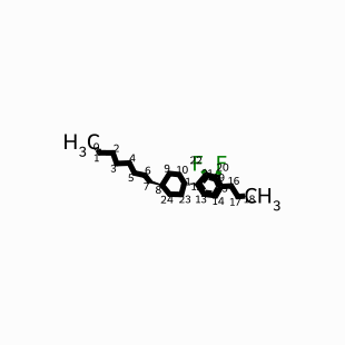 CCCCCCCC[C@H]1CC[C@H](c2ccc(CCC)c(F)c2F)CC1